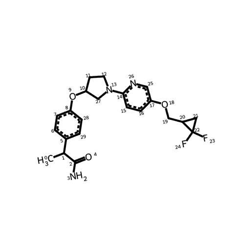 CC(C(N)=O)c1ccc(OC2CCN(c3ccc(OCC4CC4(F)F)cn3)C2)cc1